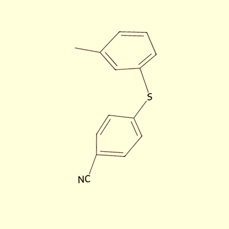 Cc1cccc(Sc2ccc(C#N)cc2)c1